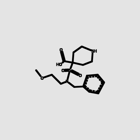 COCCN(Cc1ccccc1)S(=O)(=O)C1(C(=O)O)CCNCC1